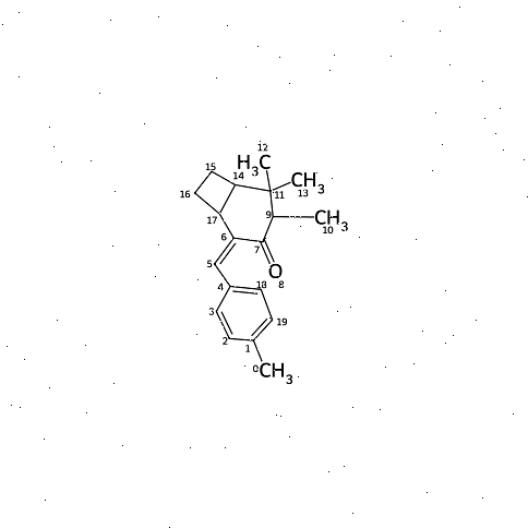 Cc1ccc(/C=C2\C(=O)C(C)C(C)(C)C3CCC23)cc1